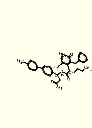 CCCC[C@H](C(=O)N[C@@H](CC(=O)O)c1ccc(-c2ccc(C)cc2)cc1)c1c(C)c[nH]c(=O)c1Cc1ccccc1